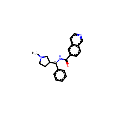 CN1CCC([C@@H](NC(=O)c2ccc3cnccc3c2)c2ccccc2)C1